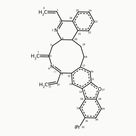 C=CC1=NC2CC(=C)/N=C(/C=C)c3cc4c(cc3CCC2c2ccccc21)oc1ccc(C(C)C)cc14